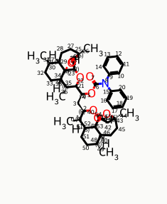 C[C@H]1[C@@H](C[C@H](OC(=O)N(c2ccccc2)c2ccccc2)C2O[C@@H]3C[C@]4(C)CC[C@H]5[C@H](C)CC[C@@H]([C@H]2C)[C@@]35OO4)O[C@@H]2C[C@]3(C)CC[C@H]4[C@H](C)CC[C@@H]1[C@@]24OO3